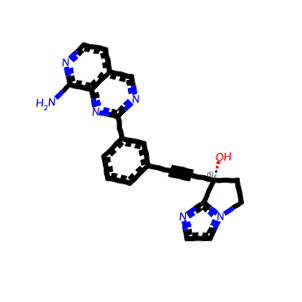 Nc1nccc2cnc(-c3cccc(C#C[C@@]4(O)CCn5ccnc54)c3)nc12